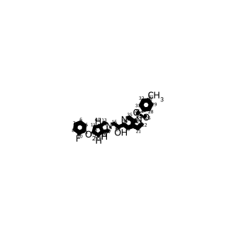 [2H][C@@H]1[C@@H](Oc2ccccc2F)C[C@H]2CN(C[C@@H](O)c3cc4ccn(S(=O)(=O)c5ccc(C)cc5)c4cn3)C[C@]21[2H]